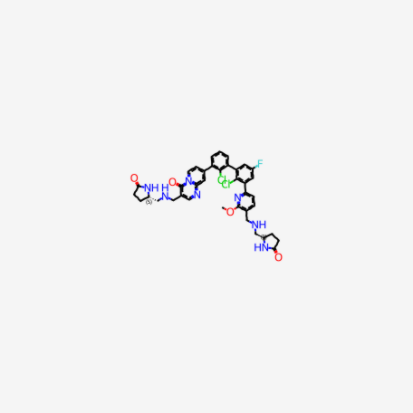 COc1nc(-c2cc(F)cc(-c3cccc(-c4ccn5c(=O)c(CNC[C@@H]6CCC(=O)N6)cnc5c4)c3Cl)c2Cl)ccc1CNC[C@H]1CCC(=O)N1